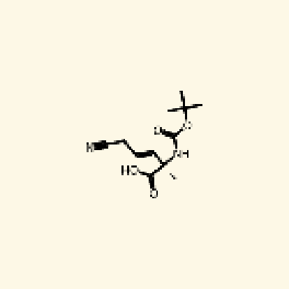 CC(C)(C)OC(=O)N[C@](C)(C=CCC#N)C(=O)O